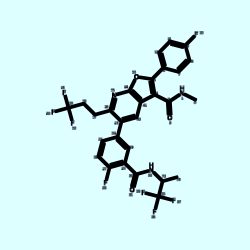 CNC(=O)c1c(-c2ccc(F)cc2)oc2nc(CCC(F)(F)F)c(-c3ccc(F)c(C(=O)NC(C)C(F)(F)F)c3)cc12